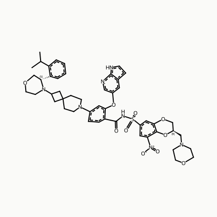 CC(C)c1ccccc1[C@H]1COCCN1C1CC2(CCN(c3ccc(C(=O)NS(=O)(=O)c4cc5c(c([N+](=O)[O-])c4)O[C@H](CN4CCOCC4)CO5)c(Oc4cnc5[nH]ccc5c4)c3)CC2)C1